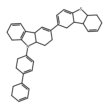 C1=CCCC(C2=CC=C(N3C4=C(C=CCC4)C4C=C(C5=CC=C6SC7CCC=CC7C6C5)CCC43)CC2)=C1